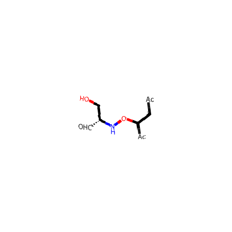 CC(=O)CC(ON[C@H](C=O)CO)C(C)=O